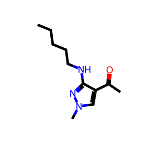 CCCCCNc1nn(C)cc1C(C)=O